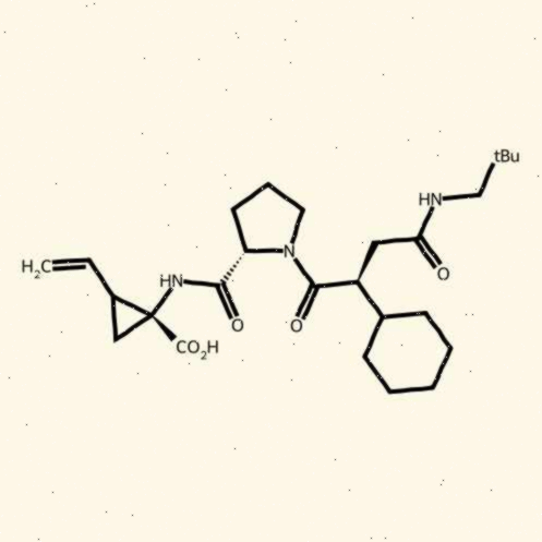 C=CC1C[C@]1(NC(=O)[C@@H]1CCCN1C(=O)[C@@H](CC(=O)NCC(C)(C)C)C1CCCCC1)C(=O)O